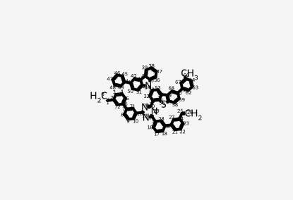 C=Cc1cccc(-c2cccc(-c3nc(-c4cccc(-c5cccc(C=C)c5)c4)nc(-c4cc(-n5c6ccccc6c6cc(-c7ccccc7)ccc65)cc5c4sc4ccc(-c6cccc(C)c6)cc45)n3)c2)c1